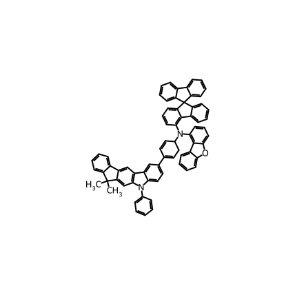 CC1(C)c2ccccc2-c2cc3c4cc(C5=CCC(N(c6cccc7c6-c6ccccc6C76c7ccccc7-c7ccccc76)c6cccc7oc8ccccc8c67)C=C5)ccc4n(-c4ccccc4)c3cc21